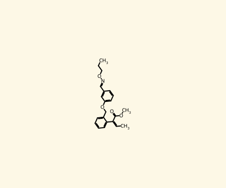 CC=C(C(=O)OC)c1ccccc1COc1cccc(C=NOCCC)c1